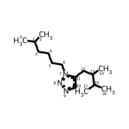 CC(C)CCCCn1nncc1CC(C)C(C)C